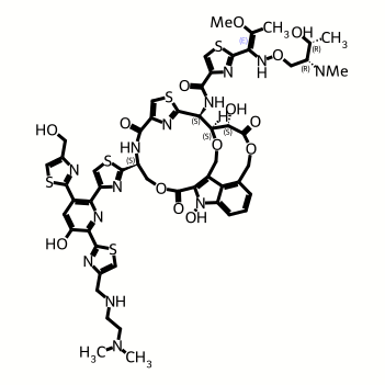 CN[C@H](CON/C(=C(\C)OC)c1nc(C(=O)N[C@@H]2c3nc(cs3)C(=O)N[C@H](c3nc(-c4nc(-c5nc(CNCCN(C)C)cs5)c(O)cc4-c4nc(CO)cs4)cs3)COC(=O)c3c4c5c(cccc5n3O)COC(=O)[C@@H](O)[C@H]2OC4)cs1)[C@@H](C)O